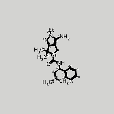 CCn1nc2c(c1N)CN(C(=O)N[C@H](CN(C)C)c1ccccc1)C2(C)C